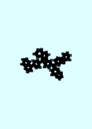 c1ccc2cc(N(c3ccc4c(c3)sc3ccccc34)c3ccc4c(c3)c3ccc5ccccc5c3n4-c3ccc(-c4cccc5ccccc45)cc3)ccc2c1